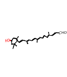 CC1=C(/C=C/C(C)=C/C=C/C(C)=C/C=C/C=C(C)/C=C/C=O)C(C)(C)CC(O)C1